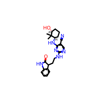 CC1(C)[C@H](O)CCC[C@H]1Nc1nc(NCCC2C(=O)Nc3ccccc32)ncc1C#N